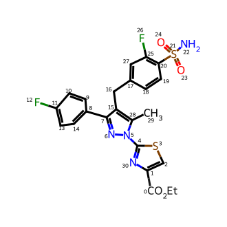 CCOC(=O)c1csc(-n2nc(-c3ccc(F)cc3)c(Cc3ccc(S(N)(=O)=O)c(F)c3)c2C)n1